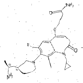 Cc1c(N2CC[C@@H]([C@H](C)N)C2)c(F)cc2c(OCC(N)=O)cc(=O)n(C3CC3)c12